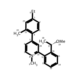 CCc1ccc(-c2cc[n+](C)c(-c3ccccc3[C@H](C)OC)c2)c(C)c1